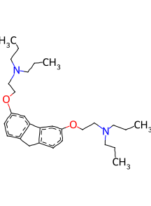 CCCN(CCC)CCOc1ccc2c(c1)-c1cc(OCCN(CCC)CCC)ccc1C2